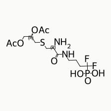 CC(=O)OC[C@H](CSC[C@H](N)C(=O)NCCCC(F)(F)P(=O)(O)O)OC(C)=O